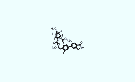 C[C@H]1[C@H]2[C@@H]3C[C@@H]([C@@H]12)N(C(=O)OC(C)(C)C)[C@@H]3C(=O)N[C@H](C#N)Cc1ccc(-c2ccc3c(c2)CNC3=O)cc1F